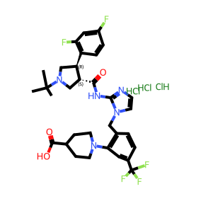 CC(C)(C)N1C[C@@H](C(=O)Nc2nccn2Cc2ccc(C(F)(F)F)cc2N2CCC(C(=O)O)CC2)[C@H](c2ccc(F)cc2F)C1.Cl.Cl.Cl